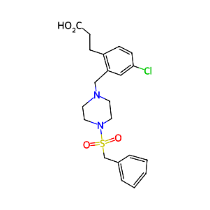 O=C(O)CCc1ccc(Cl)cc1CN1CCN(S(=O)(=O)Cc2ccccc2)CC1